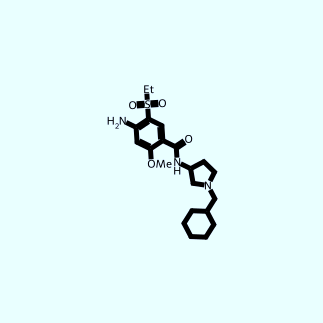 CCS(=O)(=O)c1cc(C(=O)NC2CCN(CC3CCCCC3)C2)c(OC)cc1N